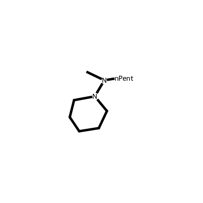 CCCCCN(C)N1CCCCC1